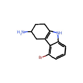 NC1CCc2[nH]c3cccc(Br)c3c2C1